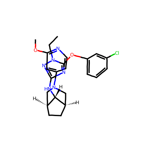 CCn1nc(N[C@@H]2[C@@H]3CC[C@H]2CN(c2ccnc(OC)c2)C3)nc1Oc1cccc(Cl)c1